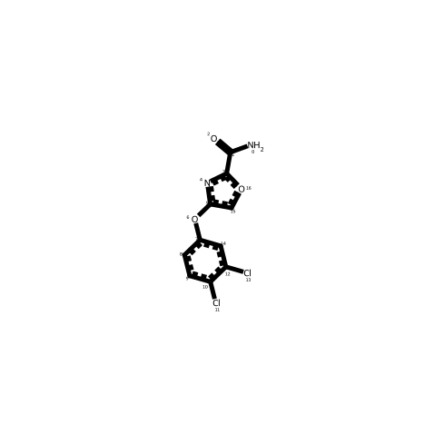 NC(=O)c1nc(Oc2ccc(Cl)c(Cl)c2)co1